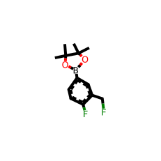 CC1(C)OB(c2ccc(F)c(CF)c2)OC1(C)C